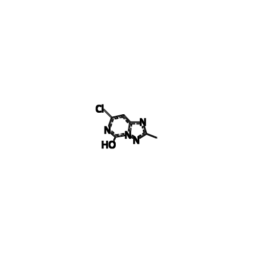 Cc1nc2cc(Cl)nc(O)n2n1